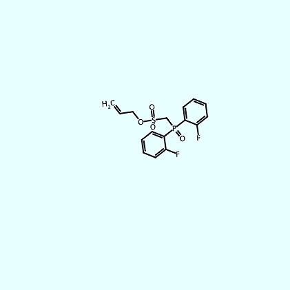 C=CCOS(=O)(=O)CP(=O)(c1ccccc1F)c1ccccc1F